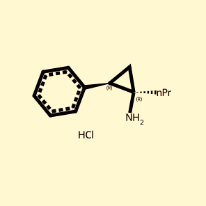 CCC[C@@]1(N)C[C@@H]1c1ccccc1.Cl